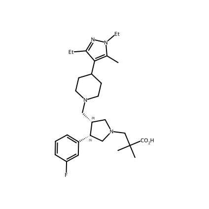 CCc1nn(CC)c(C)c1C1CCN(C[C@@H]2CN(CC(C)(C)C(=O)O)C[C@@H]2c2cccc(F)c2)CC1